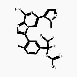 CCC(OC(=O)C(F)(F)F)(c1ccc(C)c(-c2cnc3c(N)nc(-c4ccnn4C)cn23)c1)C(F)F